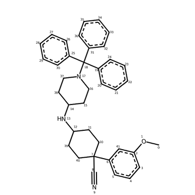 COc1cccc(C2(C#N)CCC(NC3CCN(C(c4ccccc4)(c4ccccc4)c4ccccc4)CC3)CC2)c1